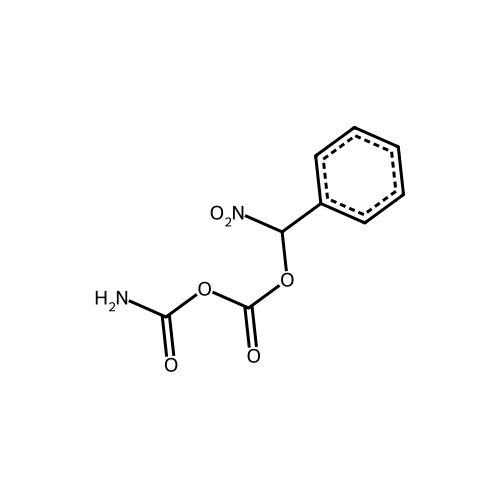 NC(=O)OC(=O)OC(c1ccccc1)[N+](=O)[O-]